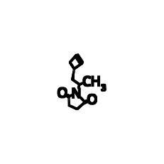 CC(C[C@@H]1C#CC1)N1C(=O)CCC1=O